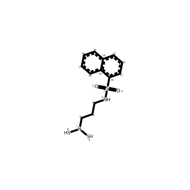 O=S(=O)(NCCCN(S)S)c1cccc2ccccc12